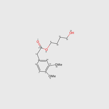 COc1ccc(CC(=O)OCCCCO)cc1OC